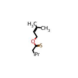 CC(C)=CCOC(=S)CC(C)C